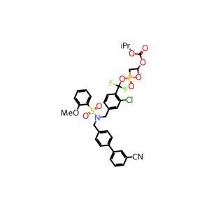 COc1ccccc1S(=O)(=O)N(Cc1ccc(-c2cccc(C#N)c2)cc1)Cc1ccc(C(F)(F)OP2(=O)CC(OC(=O)OC(C)C)O2)c(Cl)c1